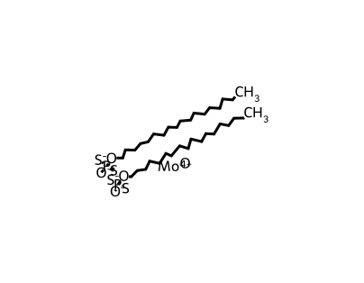 CCCCCCCCCCCCCCCCCCOP([O-])(=S)[S-].CCCCCCCCCCCCCCCCCCOP([O-])(=S)[S-].[O]=[Mo+4]